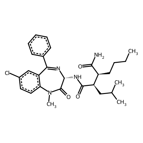 CCCC[C@H](C(N)=O)[C@@H](CC(C)C)C(=O)N[C@H]1N=C(c2ccccc2)c2cc(Cl)ccc2N(C)C1=O